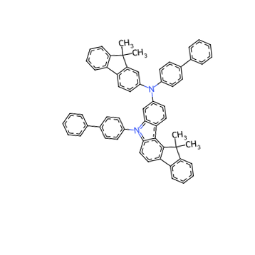 CC1(C)c2ccccc2-c2ccc(N(c3ccc(-c4ccccc4)cc3)c3ccc4c5c6c(ccc5n(-c5ccc(-c7ccccc7)cc5)c4c3)-c3ccccc3C6(C)C)cc21